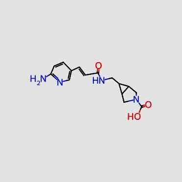 Nc1ccc(/C=C/C(=O)NCC2C3CN(C(=O)O)CC23)cn1